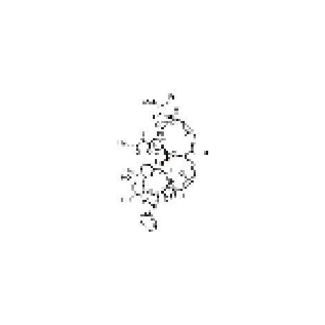 CCCCCCCC(=O)NC(=O)C[C@@H]1NC(=O)[C@H](NC(=O)[C@@H](CC(C)C)NC)[C@H](O)c2ccc(c(C)c2)Oc2cc3cc(c2O)Oc2ccc(cc2Cl)[C@@H](O)[C@@H]2NC(=O)[C@H](NC(=O)[C@@H]3NC1=O)c1ccc3c(c1)-c1c(cc(O)cc1C3(O)O)[C@@H](C(=O)NC1C3CC4CC(C3)CC1C4)NC2=O